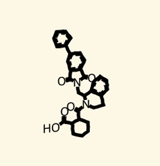 O=C(O)C1CCCCC1C(=O)N1CCc2ccccc2C1CN1C(=O)c2ccc(-c3ccccc3)cc2C1=O